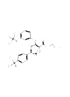 CCOC(=O)c1nnc(-c2ccc(C(F)(F)F)cc2)nc1Oc1cccc(OC(F)(F)F)c1